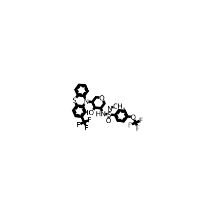 CN=S(=O)(NC1COCC(N2c3ccccc3Sc3ccc(C(F)(F)F)cc32)C1O)c1ccc(OC(F)(F)F)cc1